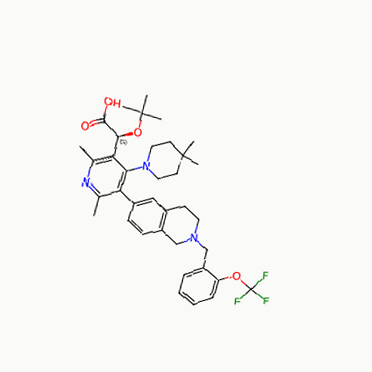 Cc1nc(C)c([C@H](OC(C)(C)C)C(=O)O)c(N2CCC(C)(C)CC2)c1-c1ccc2c(c1)CCN(Cc1ccccc1OC(F)(F)F)C2